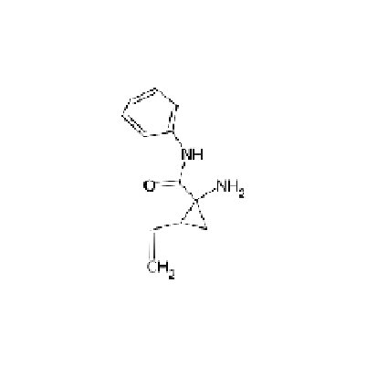 C=CC1CC1(N)C(=O)Nc1ccccc1